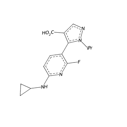 CC(C)n1ncc(C(=O)O)c1-c1ccc(NC2CC2)nc1F